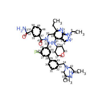 CCc1nc2c(cnn2CC)c(NC2CCOCC2)c1CN(Cc1cc(F)cc(-c2cccc(CN3C[C@@H](C)N[C@@H](C)C3)c2)c1)C(=O)c1cccc(C(N)=O)c1